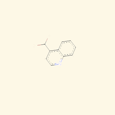 BrC(Br)c1ccnc2ccccc12